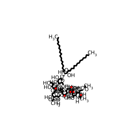 CCCCCCCCCCCCC/C=C/[C@@H](O)[C@H](CO[C@@H]1OC(CO)[C@@H](O[C@@H]2OC(CO)[C@H](O)[C@H](O[C@]3(C(=O)O)CC(O)[C@@H](NC(C)=O)C([C@H](O)[C@@H](CO)O[C@]4(C(=O)O)CC(O)[C@@H](NC(C)=O)C([C@H](O)[C@@H](CO)O[C@]5(C(=O)O)CC(O)[C@@H](NC(C)=O)C([C@H](O)[C@H](O)COC(C)=O)O5)O4)O3)C2O)[C@H](O)C1O)NC(=O)CCCCCCCCCCCCCCCCC